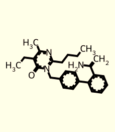 C=C(N)c1ccccc1-c1ccc(Cn2c(CCCC)nc(C)c(CC)c2=O)cc1